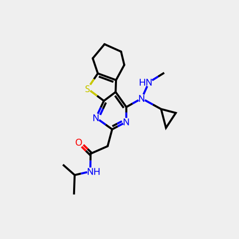 CNN(c1nc(CC(=O)NC(C)C)nc2sc3c(c12)CCCC3)C1CC1